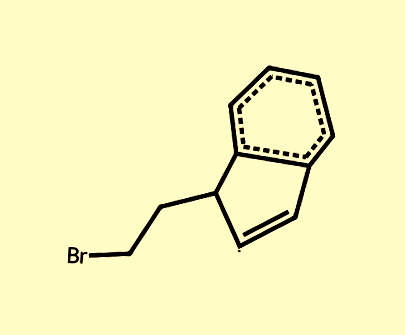 BrCCC1[C]=Cc2ccccc21